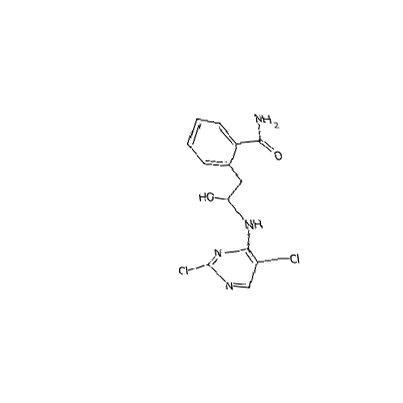 NC(=O)c1ccccc1CC(O)Nc1nc(Cl)ncc1Cl